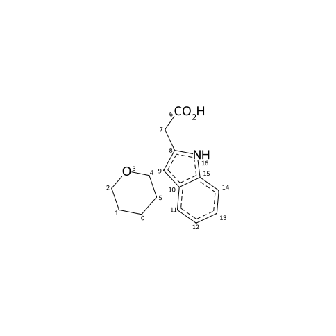 C1CCOCC1.O=C(O)Cc1cc2ccccc2[nH]1